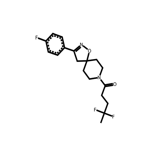 CC(F)(F)CCC(=O)N1CCC2(CC1)CC(c1ccc(F)cc1)=NO2